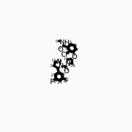 CNC(=O)c1cccc(OC2CN(C(=O)N3N=CCC3c3cc(F)cc(F)c3)C2)c1Cl